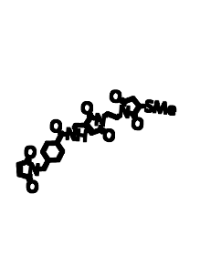 CSC1CC(=O)N(CCN2C(=O)C=C(CNC(=O)C3CCC(CN4C(=O)C=CC4=O)CC3)C2=O)C1=O